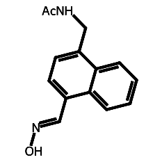 CC(=O)NCc1ccc(C=NO)c2ccccc12